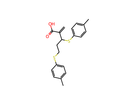 C=C(C(=O)O)C(CCSc1ccc(C)cc1)Sc1ccc(C)cc1